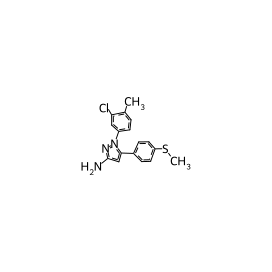 CSc1ccc(-c2cc(N)nn2-c2ccc(C)c(Cl)c2)cc1